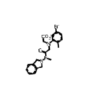 Cc1ccc(Br)cc1N(CC(=O)O)CC(=O)N(C)N1Cc2ccccc2C1